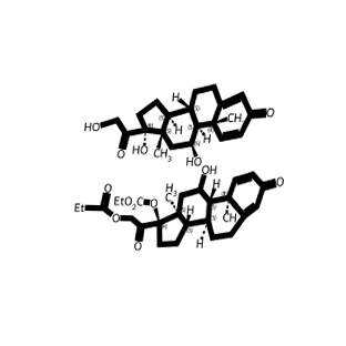 CCOC(=O)O[C@]1(C(=O)COC(=O)CC)CC[C@H]2[C@@H]3CCC4=CC(=O)C=C[C@]4(C)[C@H]3C(O)C[C@@]21C.C[C@]12C=CC(=O)C=C1CC[C@@H]1[C@@H]2[C@@H](O)C[C@@]2(C)[C@H]1CC[C@]2(O)C(=O)CO